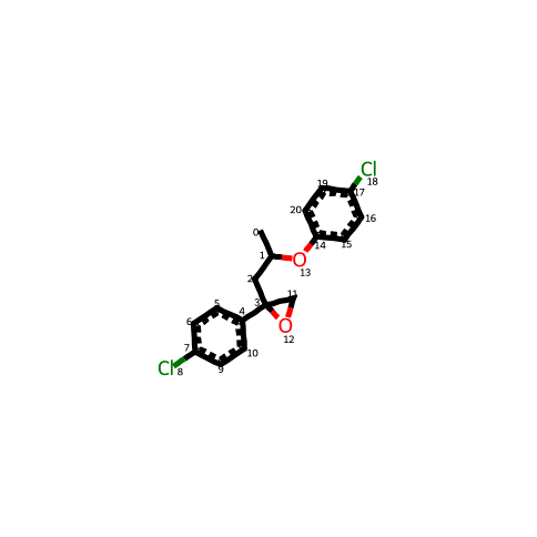 CC(CC1(c2ccc(Cl)cc2)CO1)Oc1ccc(Cl)cc1